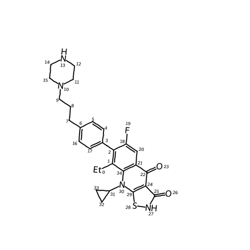 CCc1c(-c2ccc(CCCN3CCNCC3)cc2)c(F)cc2c(=O)c3c(=O)[nH]sc3n(C3CC3)c12